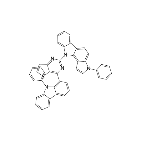 c1ccc(-n2ccc3c2ccc2c4ccccc4n(-c4nc(-c5cccc6c7ccccc7n(-c7ccccc7)c56)c5sccc5n4)c23)cc1